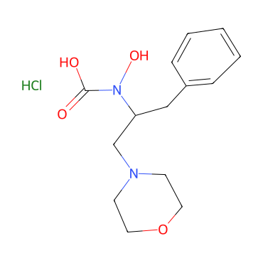 Cl.O=C(O)N(O)C(Cc1ccccc1)CN1CCOCC1